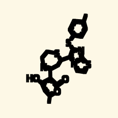 Cc1ccc(Sc2nc3sccn3c2C2CC(c3c(O)cc(C)oc3=O)=NCCS2)cc1